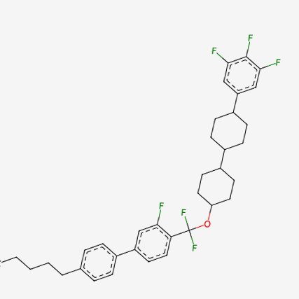 CCCCCc1ccc(-c2ccc(C(F)(F)OC3CCC(C4CCC(c5cc(F)c(F)c(F)c5)CC4)CC3)c(F)c2)cc1